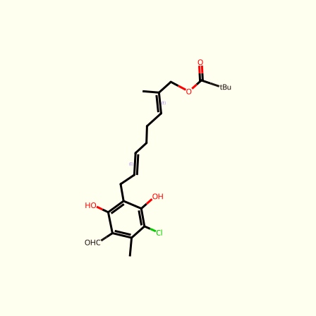 C/C(=C\CC/C=C/Cc1c(O)c(Cl)c(C)c(C=O)c1O)COC(=O)C(C)(C)C